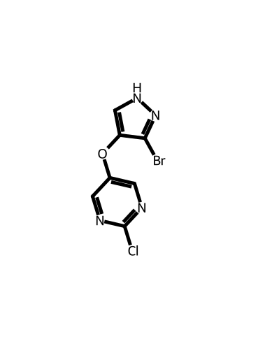 Clc1ncc(Oc2c[nH]nc2Br)cn1